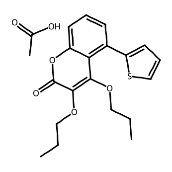 CC(=O)O.CCCOc1c(OCCC)c2c(-c3cccs3)cccc2oc1=O